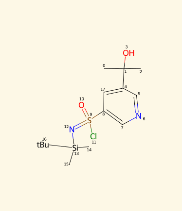 CC(C)(O)c1cncc(S(=O)(Cl)=N[Si](C)(C)C(C)(C)C)c1